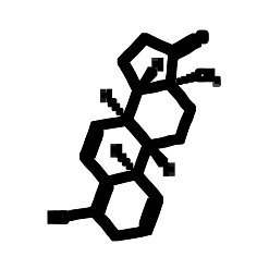 C[C@]12CC[C@H]3[C@@H](C=CC4=C(O)CC=C[C@@H]43)[C@@H]1CCC2=O